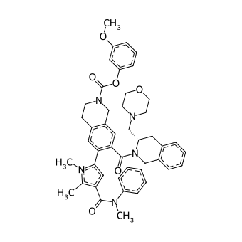 COc1cccc(OC(=O)N2CCc3cc(-c4cc(C(=O)N(C)c5ccccc5)c(C)n4C)c(C(=O)N4Cc5ccccc5C[C@H]4CN4CCOCC4)cc3C2)c1